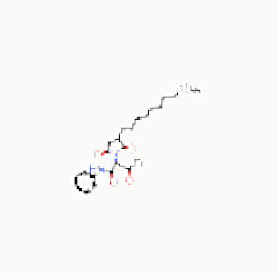 CCCCCCCCCCCCCCCCCCC1CC(=O)N(C(C(=O)CC)C(=O)Nc2ccccc2)C1=O